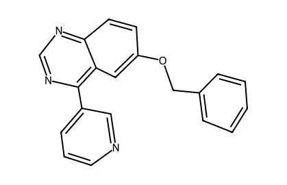 c1ccc(COc2ccc3ncnc(-c4cccnc4)c3c2)cc1